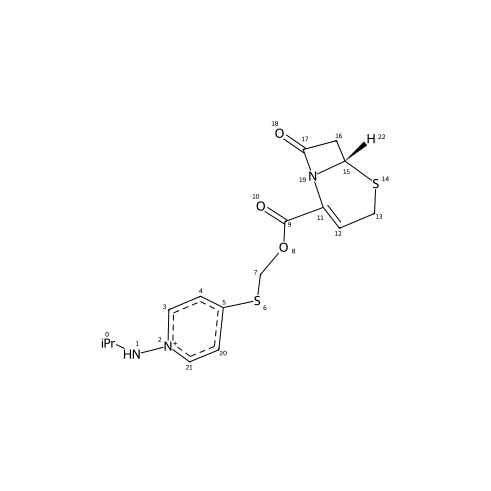 CC(C)N[n+]1ccc(SCOC(=O)C2=CCS[C@H]3CC(=O)N23)cc1